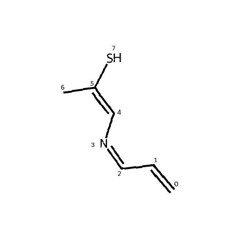 C=C/C=N\C=C(/C)S